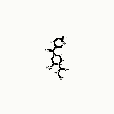 CC1CN(C(=O)c2cnc(Cl)cn2)CCN1C(=O)OC(C)(C)C